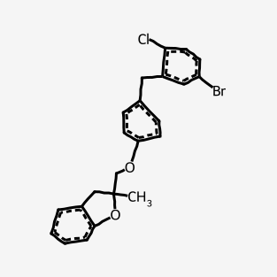 CC1(COc2ccc(Cc3cc(Br)ccc3Cl)cc2)Cc2ccccc2O1